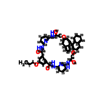 C=CCOc1cc2cc(c1)C(=O)Nc1cccc(n1)NC(=O)COc1ccc3ccccc3c1-c1c(ccc3ccccc13)OCC(=O)Nc1cccc(n1)NC2=O